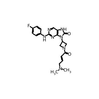 CN(C)C/C=C/C(=O)N1CC(n2c(=O)[nH]c3cnc(Nc4ccc(F)cc4)nc32)C1